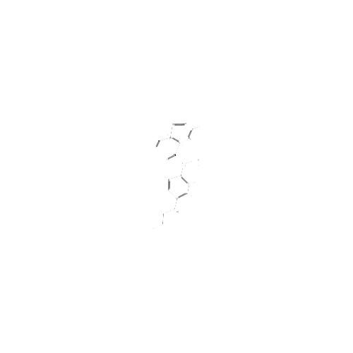 CC(=O)c1ccc(C)cc1C(=O)N(O)c1ccc(CCCO)cc1